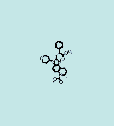 COC(=O)N1c2ccc3c(nc(C[C@@H](C(=O)O)c4ccccc4)n3C3CCOCC3)c2CC[C@@H]1C